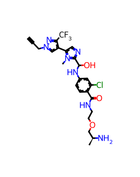 C#CCn1cc(-c2cnc(C(O)Nc3ccc(C(=O)NCCOC[C@H](C)N)c(Cl)c3)n2C)c(C(F)(F)F)n1